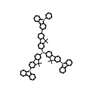 CC1(C)c2cc(-c3ccc4c(c3)c3ccccc3n4-c3ccccc3)ccc2-c2ccc(N(c3ccc4c(c3)C(C)(C)c3cc(-n5c6ccccc6c6ccccc65)ccc3-4)c3ccc4c(c3)C(C)(C)c3cc(-n5c6ccccc6c6ccccc65)ccc3-4)cc21